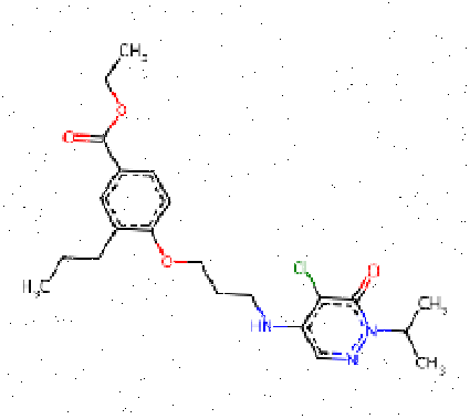 CCCc1cc(C(=O)OCC)ccc1OCCCNc1cnn(C(C)C)c(=O)c1Cl